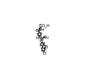 CC[C@H](C)[C@@H](COc1ccc(-c2ccc(Cl)cc2Cl)c(C)n1)Nc1ccc(C(=O)NCCC(=O)O)cc1